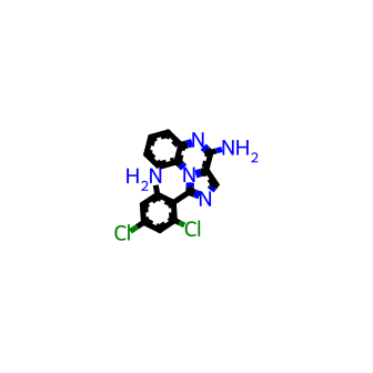 Cc1cc(Cl)cc(Cl)c1-c1ncc2c(N)nc3cccc(N)c3n12